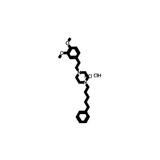 COc1ccc(CCN2CCN(CCCCCc3ccccc3)CC2)cc1OC.Cl.Cl